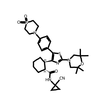 CC1(C)CN(c2nc([C@@H]3CCCC[C@H]3C(=O)NC3(C#N)CC3)c(-c3ccc(N4CCS(=O)(=O)CC4)cc3)s2)CC(C)(C)O1